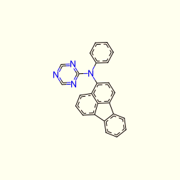 c1ccc(N(c2ncncn2)c2ccc3c4c(cccc24)-c2ccccc2-3)cc1